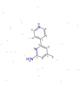 Cc1cc(N)nc(-c2ccncc2)c1